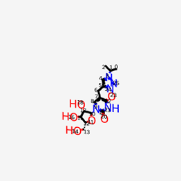 CC(C)n1cc(Cc2cn([C@@H]3O[C@H](CO)C(O)[C@@H]3O)c(=O)[nH]c2=O)nn1